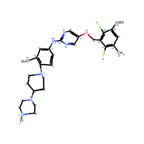 CCN1CCN(C2CCN(c3ccc(Nc4ncc(OCc5c(F)c(C)cc(OC)c5F)cn4)cc3OC)CC2)CC1